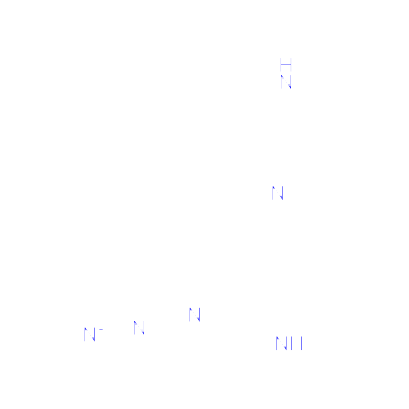 [N-]=[N+]=NCC(C=N)N1CCNCC1